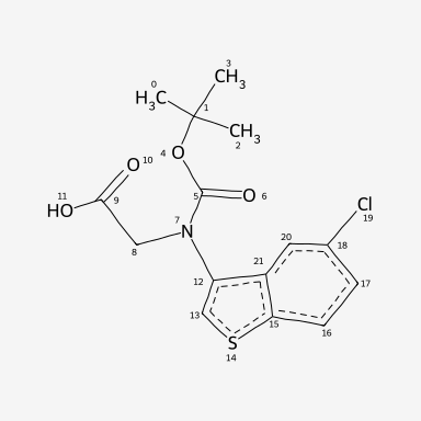 CC(C)(C)OC(=O)N(CC(=O)O)c1csc2ccc(Cl)cc12